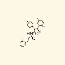 Cc1ccc(F)c(-c2noc(NC(=O)CCc3ccccc3C)c2-c2ccncc2)c1